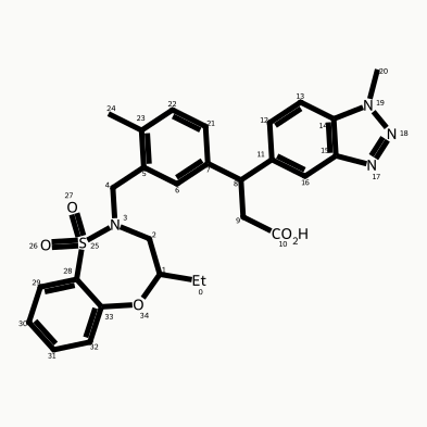 CCC1CN(Cc2cc(C(CC(=O)O)c3ccc4c(c3)nnn4C)ccc2C)S(=O)(=O)c2ccccc2O1